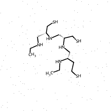 CCNC[C@H](CS)NC[C@H](CS)NC[C@H](CCS)NCC